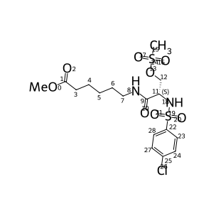 COC(=O)CCCCCNC(=O)[C@H](COS(C)(=O)=O)NS(=O)(=O)c1ccc(Cl)cc1